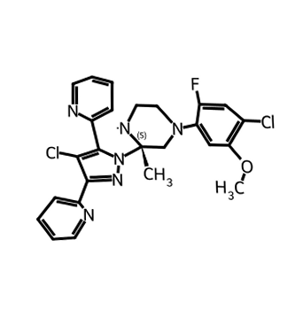 COc1cc(N2CC[N][C@@](C)(n3nc(-c4ccccn4)c(Cl)c3-c3ccccn3)C2)c(F)cc1Cl